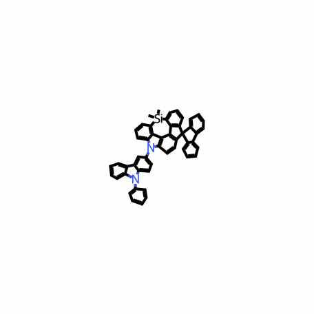 C[Si]1(C)c2cccc3c2-c2c(ccc4c2c2c1cccc2n4-c1ccc2c(c1)c1ccccc1n2-c1ccccc1)C31c2ccccc2-c2ccccc21